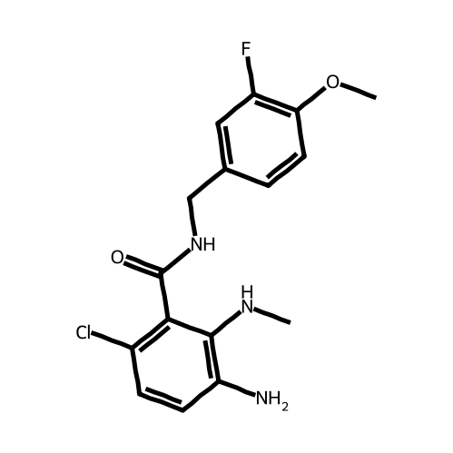 CNc1c(N)ccc(Cl)c1C(=O)NCc1ccc(OC)c(F)c1